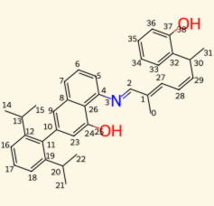 CC(/C=N/c1cccc2cc(-c3c(C(C)C)cccc3C(C)C)cc(O)c12)=C\C=C/C(C)c1ccccc1O